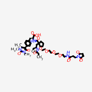 CCC(=O)N(OCCOCCOCCOCCNC(=O)CCN1C(=O)C=CC1=O)C(CC)CC1(C(=O)N[C@@H](Cc2ccc(-c3c(C)n(C)c(=O)n(C)c3=O)cc2)C(=O)O)CCCC1